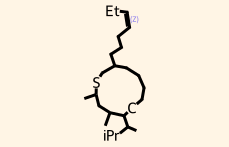 CC/C=C\CCCC1CCCCCC(C(C)C(C)C)C(C)CC(C)SC1